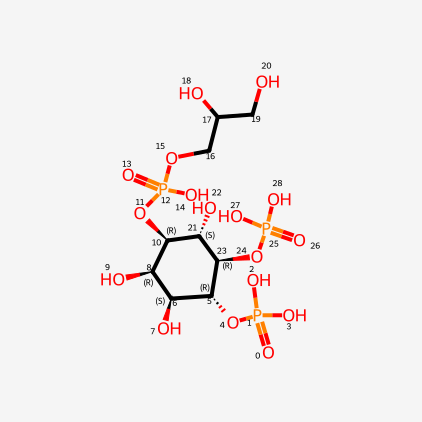 O=P(O)(O)O[C@@H]1[C@@H](O)[C@@H](O)[C@@H](OP(=O)(O)OCC(O)CO)[C@H](O)[C@H]1OP(=O)(O)O